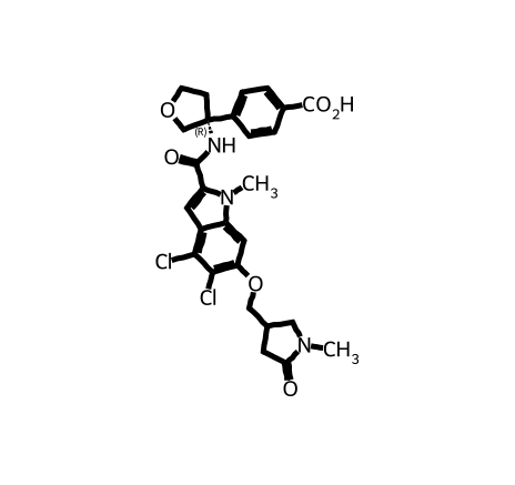 CN1CC(COc2cc3c(cc(C(=O)N[C@@]4(c5ccc(C(=O)O)cc5)CCOC4)n3C)c(Cl)c2Cl)CC1=O